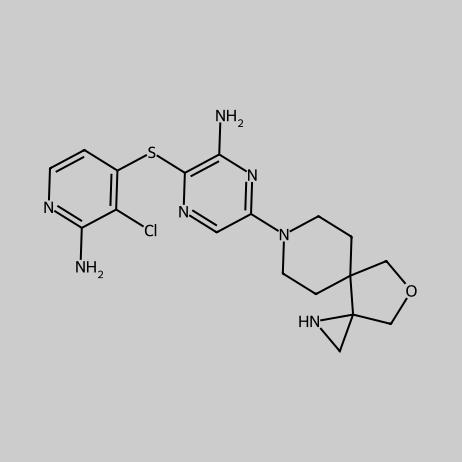 Nc1nc(N2CCC3(CC2)COCC32CN2)cnc1Sc1ccnc(N)c1Cl